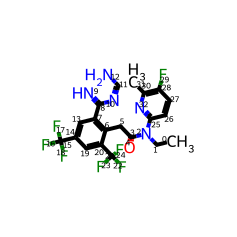 CCN(C(=O)Cc1c(C(=N)/N=C\N)cc(C(F)(F)F)cc1C(F)(F)F)c1ccc(F)c(C)n1